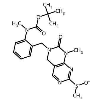 CN(C(=O)OC(C)(C)C)c1ccccc1CN1Cc2cnc([S+](C)[O-])nc2N(C)C1=O